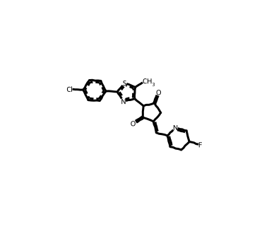 Cc1sc(-c2ccc(Cl)cc2)nc1C1C(=O)C/C(=C\C2=CCC(F)C=N2)C1=O